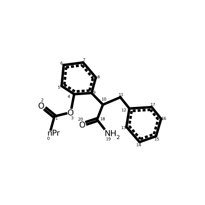 CCCC(=O)Oc1ccccc1C(Cc1ccccc1)C(N)=O